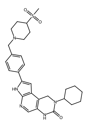 CS(=O)(=O)C1CCN(Cc2ccc(-c3cc4c5c(cnc4[nH]3)NC(=O)N(C3CCCCC3)C5)cc2)CC1